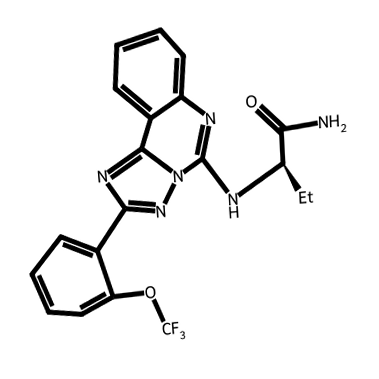 CC[C@@H](Nc1nc2ccccc2c2nc(-c3ccccc3OC(F)(F)F)nn12)C(N)=O